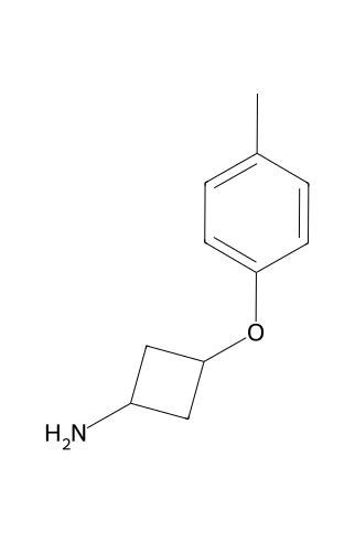 Cc1ccc(OC2CC(N)C2)cc1